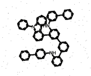 c1ccc(-c2ccc(Nc3ccccc3-c3cccc(-c4ccc(Nc5cccc(-c6ccccc6)c5)c(-c5cccc6c5c5ccccc5n6-c5ccccc5)c4)c3)cc2)cc1